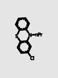 CCCN1c2ccccc2Sc2ccc(Cl)cc21